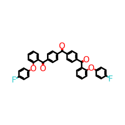 O=C(c1ccc(C(=O)c2ccccc2Oc2ccc(F)cc2)cc1)c1ccc(C(=O)c2ccccc2Oc2ccc(F)cc2)cc1